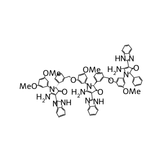 COc1cc(OCc2cccc([C@H]3C(=O)C(c4nc5ccccc5[nH]4)=C(N)N3c3cc(OC)cc(OCc4cccc([C@@H]5C(=O)C(c6nc7ccccc7[nH]6)=C(N)N5c5cc(OC)cc(OC)c5)c4)c3)c2)cc(N2C(N)=C(c3nc4ccccc4[nH]3)C(=O)C2c2ccccc2)c1